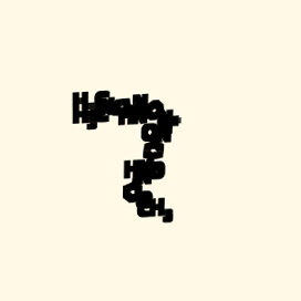 COc1cccc(/C=N/NC(=O)c2ccc(C(=O)N=[N+]=Nc3ccc4nc(-c5ccc(N(C)C)cc5)[nH]c4c3)cc2)c1